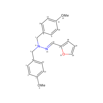 COc1ccc(CN(Cc2ccc(OC)cc2)N=Cc2ccco2)cc1